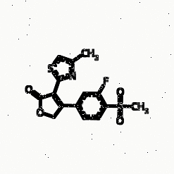 Cc1csc(C2=C(c3ccc(S(C)(=O)=O)c(F)c3)COC2=O)n1